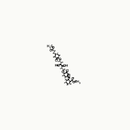 COC(=O)CCc1ccc(OCC[C@@H](O)[C@H](O)CCOc2ccc(Nc3ccccc3C(=O)OC)cc2Cl)c(Cl)c1